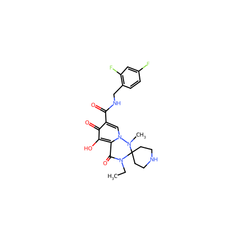 CCN1C(=O)c2c(O)c(=O)c(C(=O)NCc3ccc(F)cc3F)cn2N(C)C12CCNCC2